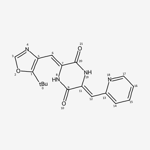 CC(C)(C)c1ocnc1C=c1[nH]c(=O)c(=Cc2ccccn2)[nH]c1=O